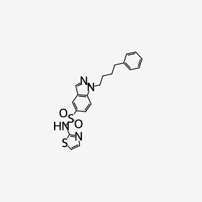 O=S(=O)(Nc1nccs1)c1ccc2c(cnn2CCCCc2ccccc2)c1